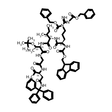 CC[C@H](C)[C@H](NC(=O)[C@@H](CCCN(C(=N)NC(=O)OCc1ccccc1)C(=O)OCc1ccccc1)NC(=O)OCC1c2ccccc2-c2ccccc21)C(=O)N[C@H](C(=O)NCC(=O)N[C@@H](CC(=O)NC(c1ccccc1)(c1ccccc1)c1ccccc1)C(C)=O)[C@H](C)OC(C)(C)C